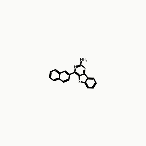 Nc1nc(-c2ccc3ccccc3c2)c2sc3ccccc3c2n1